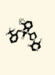 COc1cccc2c1n(Cc1ccccc1C(F)(F)F)c(=O)n2C1CCN(c2c(F)cncc2F)C1